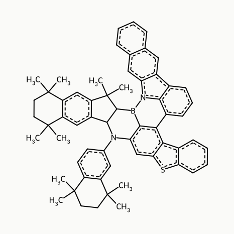 CC1(C)CCC(C)(C)c2cc(N3c4cc5sc6ccccc6c5c5c4B(C4C3c3cc6c(cc3C4(C)C)C(C)(C)CCC6(C)C)n3c4cc6ccccc6cc4c4cccc-5c43)ccc21